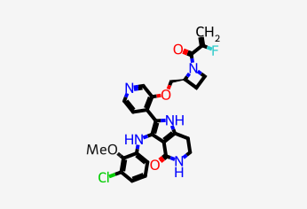 C=C(F)C(=O)N1CC[C@H]1COc1cnccc1-c1[nH]c2c(c1Nc1cccc(Cl)c1OC)C(=O)NCC2